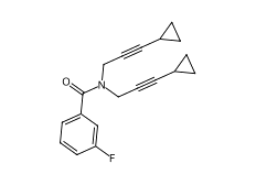 O=C(c1cccc(F)c1)N(CC#CC1CC1)CC#CC1CC1